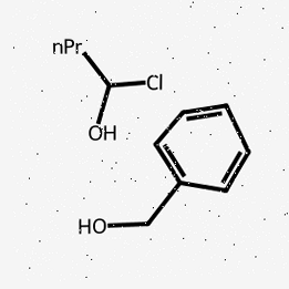 CCCC(O)Cl.OCc1ccccc1